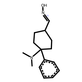 CN(C)C1(c2ccccc2)CCC(/C=N/O)CC1